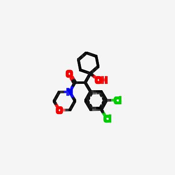 O=C(C(c1ccc(Cl)c(Cl)c1)C1(O)CCCCC1)N1CCOCC1